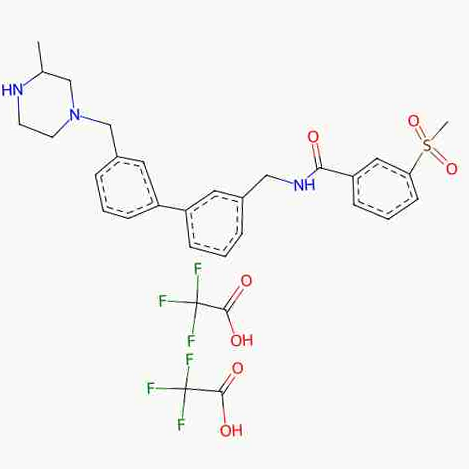 CC1CN(Cc2cccc(-c3cccc(CNC(=O)c4cccc(S(C)(=O)=O)c4)c3)c2)CCN1.O=C(O)C(F)(F)F.O=C(O)C(F)(F)F